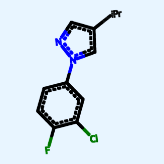 CC(C)c1cnn(-c2ccc(F)c(Cl)c2)c1